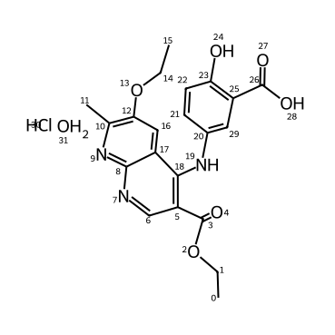 CCOC(=O)c1cnc2nc(C)c(OCC)cc2c1Nc1ccc(O)c(C(=O)O)c1.Cl.O